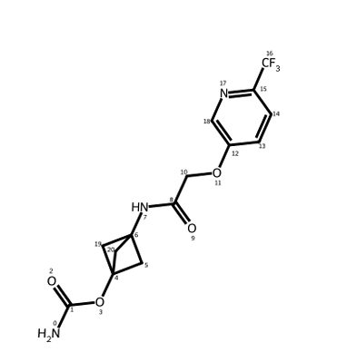 NC(=O)OC12CC(NC(=O)COc3ccc(C(F)(F)F)nc3)(C1)C2